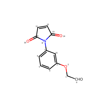 O=CCOc1cccc(N2C(=O)C=CC2=O)c1